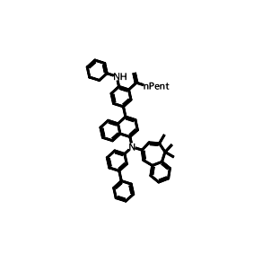 C=C(CCCCC)c1cc(-c2ccc(N(C3=Cc4ccccc4C(C)(C)C(C)=C3)c3cccc(-c4ccccc4)c3)c3ccccc23)ccc1NC1=CC=CCC1